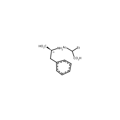 CCC(C(C)=O)C(=O)O.N[C@@H](Cc1ccccc1)C(=O)O